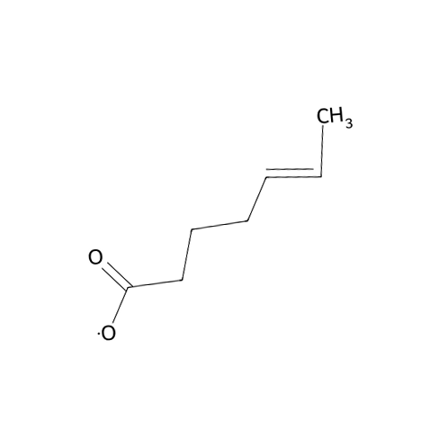 CC=CCCCC([O])=O